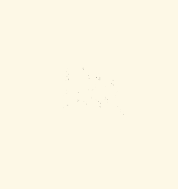 COc1c(F)cc(C#N)cc1Nc1cc(NC2CC2)c2ncc(C#N)n2n1